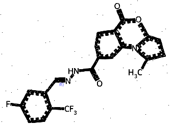 Cc1ccc2oc(=O)c3ccc(C(=O)N/N=C/c4cc(F)ccc4C(F)(F)F)cc3n12